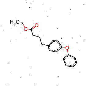 CCOC(=O)CCCc1ccc(Oc2ccccc2)cc1